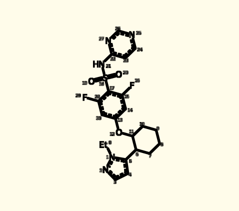 CCn1nccc1C1CCCCC1Oc1cc(F)c(S(=O)(=O)Nc2ccncn2)c(F)c1